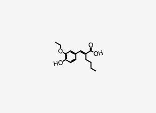 CCCC/C(=C\c1ccc(O)c(OCC)c1)C(=O)O